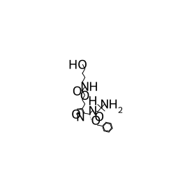 CC(C)(N)C(=O)N[C@H](COCc1ccccc1)c1nocc1CCOC(=O)NCCCCO